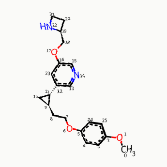 COc1ccc(OCC[C@H]2C[C@@H]2c2cncc(OC[C@@H]3CCN3)c2)cc1